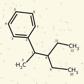 [CH2]C(c1ccccc1)C(CC)CC